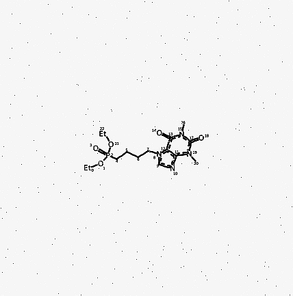 CCOP(=O)(CCCCn1cnc2c1c(=O)n(C)c(=O)n2C)OCC